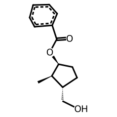 C[C@@H]1[C@@H](CO)CC[C@@H]1OC(=O)c1ccccc1